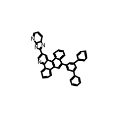 C1=CC2N=C(c3cnc4c5ccccc5c5cc(-c6cc(-c7ccccc7)cc(-c7ccccc7)c6)c6ccccc6c5c4c3)N=C2N=C1